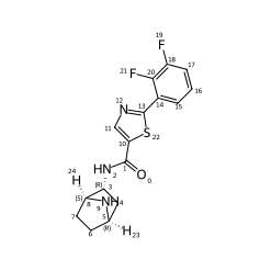 O=C(N[C@@H]1C[C@H]2CC[C@@H]1N2)c1cnc(-c2cccc(F)c2F)s1